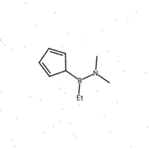 CCB(C1C=CC=C1)N(C)C